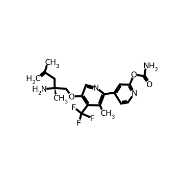 C=C(C)C[C@@](C)(N)COc1cnc(-c2ccnc(OC(N)=O)c2)c(C)c1C(F)(F)F